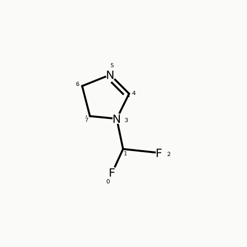 FC(F)N1[C]=NC[CH]1